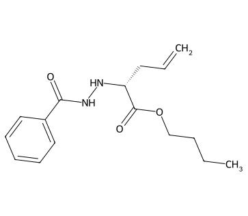 C=CC[C@@H](NNC(=O)c1ccccc1)C(=O)OCCCC